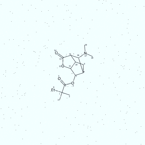 CCC(C)(C)C(=O)OC1C2CC3C1OC(=O)C3C2N(C)C